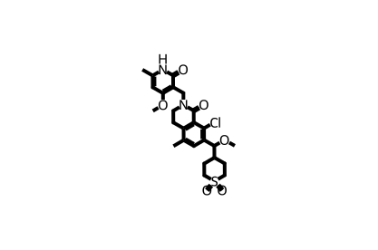 COc1cc(C)[nH]c(=O)c1CN1CCc2c(C)cc(C(OC)C3CCS(=O)(=O)CC3)c(Cl)c2C1=O